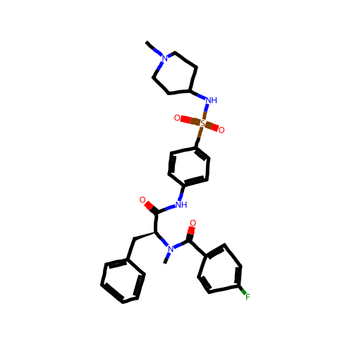 CN1CCC(NS(=O)(=O)c2ccc(NC(=O)[C@H](Cc3ccccc3)N(C)C(=O)c3ccc(F)cc3)cc2)CC1